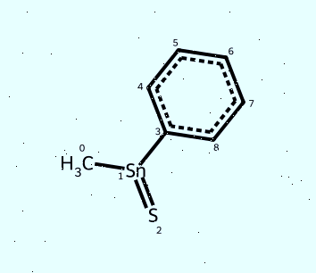 [CH3][Sn](=[S])[c]1ccccc1